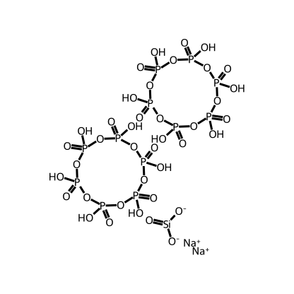 O=P1(O)OP(=O)(O)OP(=O)(O)OP(=O)(O)OP(=O)(O)OP(=O)(O)O1.O=P1(O)OP(=O)(O)OP(=O)(O)OP(=O)(O)OP(=O)(O)OP(=O)(O)O1.O=[Si]([O-])[O-].[Na+].[Na+]